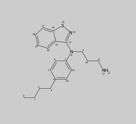 CCCCc1ccc(N(CCCN)c2nsc3ccccc23)cc1